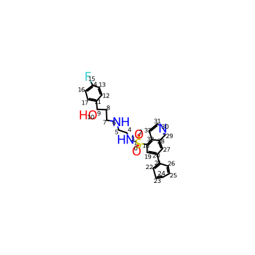 O=S(=O)(NCCNCCC(O)c1ccc(F)cc1)c1cc(-c2ccccc2)cc2cnccc12